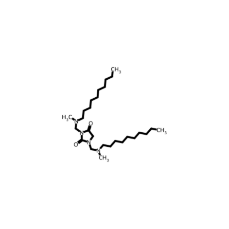 CCCCCCCCCCN(C)CN1CC(=O)N(CN(C)CCCCCCCCCC)C1=O